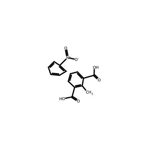 Cc1c(C(=O)O)cccc1C(=O)O.O=[N+]([O-])c1ccccc1